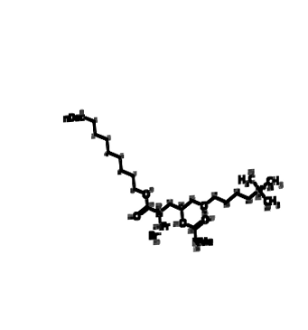 CCCCCCCCCCCCCCCCCCOC(=O)N(CC(COCCCC[N+](C)(C)C)OC(=O)NC)C(C)C.[Br-]